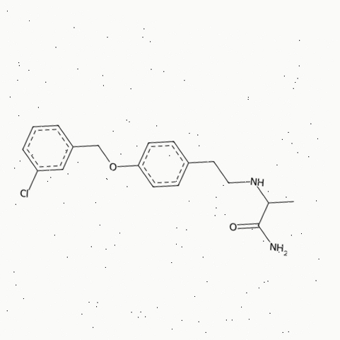 CC(NCCc1ccc(OCc2cccc(Cl)c2)cc1)C(N)=O